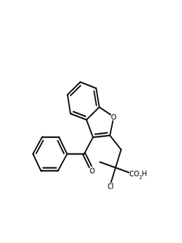 CC(Cl)(Cc1oc2ccccc2c1C(=O)c1ccccc1)C(=O)O